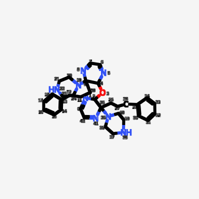 C1=NC(OC2N=CC=NC2(CCCc2ccccc2)N2CCNCC2)C(CCCc2ccccc2)(N2CCNCC2)N=C1